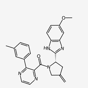 C=C1C[C@@H](c2nc3cc(OC)ccc3[nH]2)N(C(=O)c2nccnc2-c2cccc(C)c2)C1